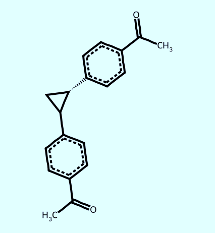 CC(=O)c1ccc(C2C[C@@H]2c2ccc(C(C)=O)cc2)cc1